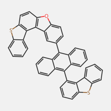 c1ccc2c(c1)sc1cccc(-c3c4ccccc4c(-c4ccc5oc6ccc7sc8ccccc8c7c6c5c4)c4ccccc34)c12